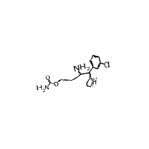 NC(=O)OCCC(N)C(O)c1cccc(Cl)c1